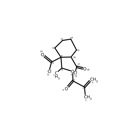 C=C(C)C(=O)OC(C)C1(C(=O)Cl)CCCCC1C(=O)Cl